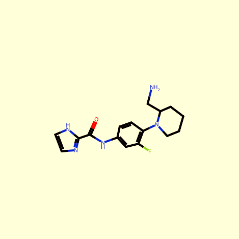 NCC1CCCCN1c1ccc(NC(=O)c2ncc[nH]2)cc1F